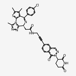 Cc1sc2c(c1C)C(c1ccc(Cl)cc1)=N[C@@H](CC(=O)NCC#Cc1ccc3c(=O)n(C4CCC(=O)NC4=O)ncc3c1)c1nnc(C)n1-2